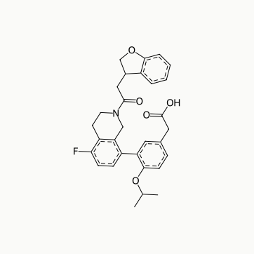 CC(C)Oc1ccc(CC(=O)O)cc1-c1ccc(F)c2c1CN(C(=O)CC1COc3ccccc31)CC2